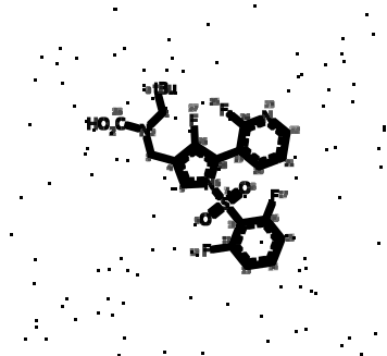 CC(C)(C)CN(Cc1cn(S(=O)(=O)c2c(F)cccc2F)c(-c2cccnc2F)c1F)C(=O)O